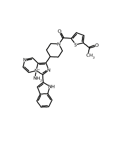 CC(=O)c1ccc(C(=O)N2CCC(C3=C4C=NC=C[N+]4(N)C(c4cc5ccccc5[nH]4)=N3)CC2)s1